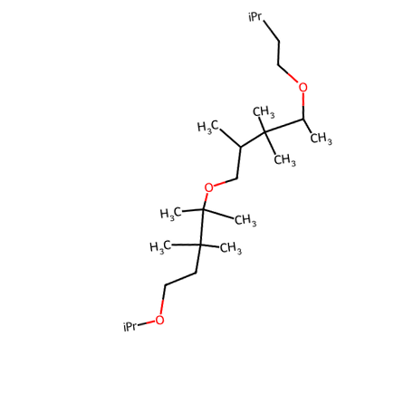 CC(C)CCOC(C)C(C)(C)C(C)COC(C)(C)C(C)(C)CCOC(C)C